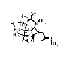 COC(=O)CN1C(=O)[C@H]([C@@](C)(O[SiH](C)C)C(C)(C)C)[C@H]1[C@H](C)C(=O)O